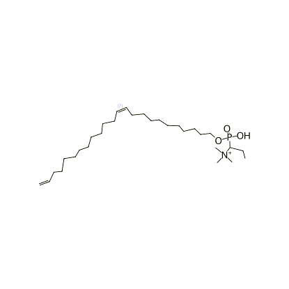 C=CCCCCCCCCCC/C=C\CCCCCCCCCCOP(=O)(O)C(CC)[N+](C)(C)C